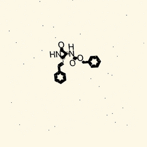 O=C(N[C@H]1C(=O)N[C@H]1C=Cc1ccccc1)OCc1ccccc1